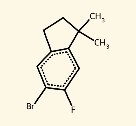 CC1(C)CCc2cc(Br)c(F)cc21